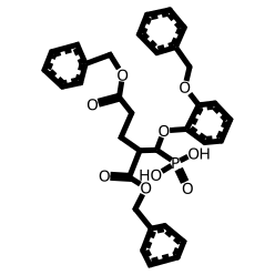 O=C(CCC(C(=O)OCc1ccccc1)C(Oc1ccccc1OCc1ccccc1)P(=O)(O)O)OCc1ccccc1